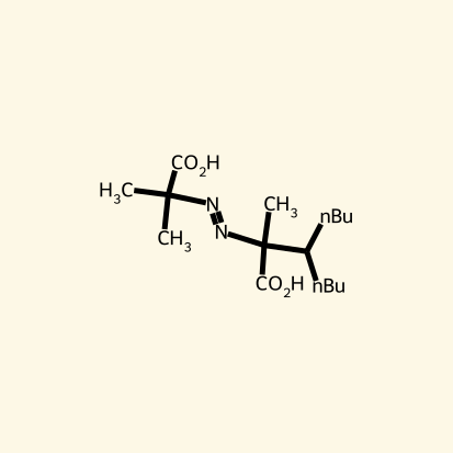 CCCCC(CCCC)C(C)(/N=N/C(C)(C)C(=O)O)C(=O)O